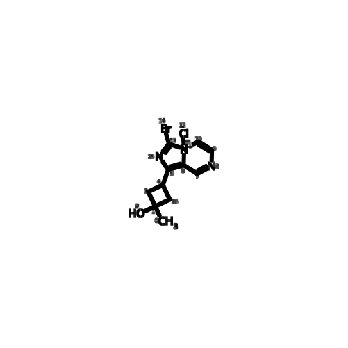 CC1(O)CC(C2=C3C=NC=C[N+]3(Cl)C(Br)=N2)C1